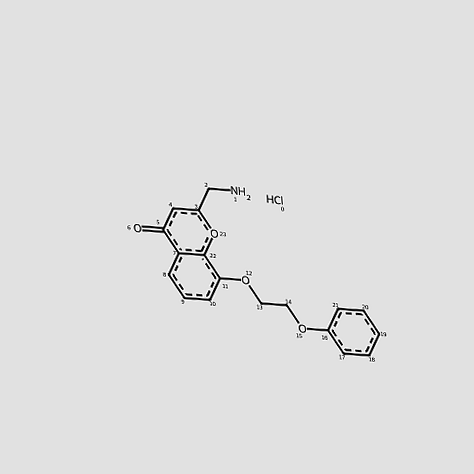 Cl.NCc1cc(=O)c2cccc(OCCOc3ccccc3)c2o1